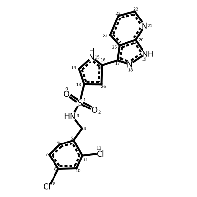 O=S(=O)(NCc1ccc(Cl)cc1Cl)c1c[nH]c(-c2n[nH]c3ncccc23)c1